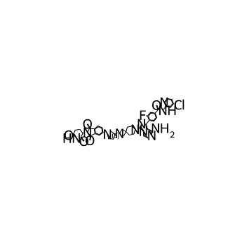 Nc1nccn2c(N3CCC4(CC3)CN([C@H]3CCN(c5ccc6c(c5)C(=O)N(C5CCC(=O)NC5=O)C6=O)C3)C4)nc(-c3ccc(C(=O)Nc4cc(Cl)ccn4)cc3F)c12